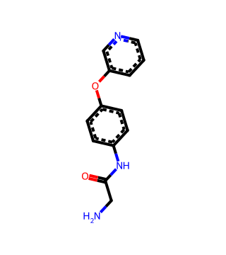 NCC(=O)Nc1ccc(Oc2cccnc2)cc1